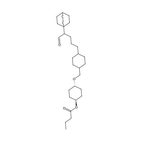 CCCC(=O)O[C@H]1CC[C@H](OCC2CCC(CCCC(C=O)C34CCC(CC3)CC4)CC2)CC1